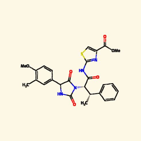 COC(=O)c1csc(NC(=O)[C@H]([C@@H](C)c2ccccc2)N2C(=O)NC(c3ccc(OC)c(C)c3)C2=O)n1